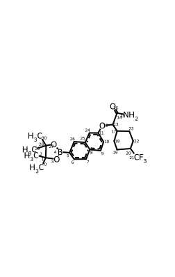 CC1(C)OB(c2ccc3ccc(OC(C(N)=O)C4CCC(C(F)(F)F)CC4)cc3c2)OC1(C)C